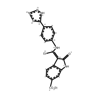 CCOC(=O)c1ccc2c(c1)NC(=O)/C2=C(/CC)Nc1ccc(-c2nnn[nH]2)cc1